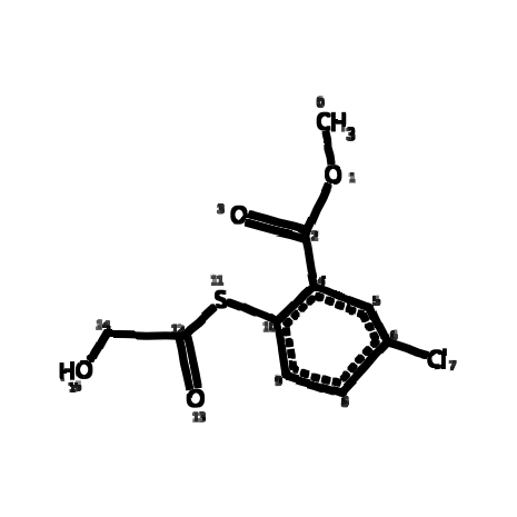 COC(=O)c1cc(Cl)ccc1SC(=O)CO